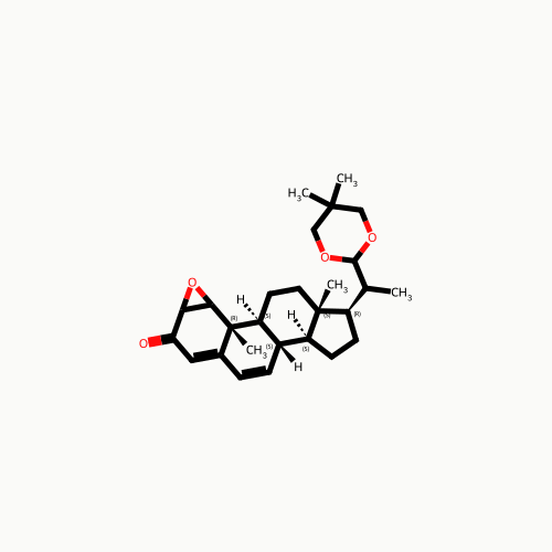 CC(C1OCC(C)(C)CO1)[C@H]1CC[C@H]2[C@@H]3C=CC4=CC(=O)C5OC5[C@]4(C)[C@H]3CC[C@]12C